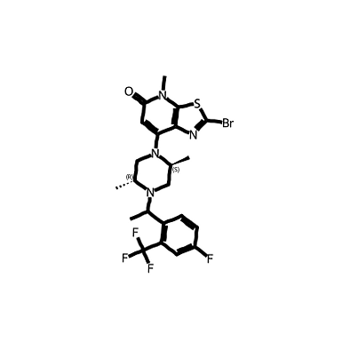 CC(c1ccc(F)cc1C(F)(F)F)N1C[C@H](C)N(c2cc(=O)n(C)c3sc(Br)nc23)C[C@H]1C